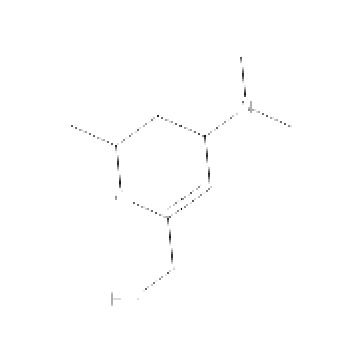 CC1CC(N(C)C)C=C(CO)O1